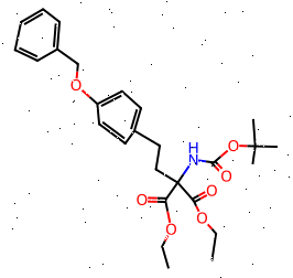 CCOC(=O)C(CCc1ccc(OCc2ccccc2)cc1)(NC(=O)OC(C)(C)C)C(=O)OCC